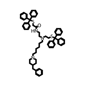 O=C(CSC(c1ccccc1)(c1ccccc1)c1ccccc1)NCCN(CCCCCCN1CCC(Cc2ccccc2)CC1)CCSC(c1ccccc1)(c1ccccc1)c1ccccc1